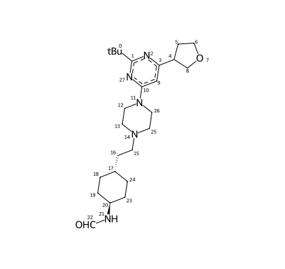 CC(C)(C)c1nc(C2CCOC2)cc(N2CCN(CC[C@H]3CC[C@H](NC=O)CC3)CC2)n1